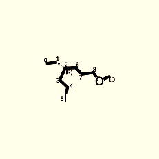 CC[C@@H](CCI)CCCOC